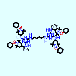 CCCC(Nc1nc(NCCCCCCNc2nc(NC3CC(C)(C)N(OC4CCCCC4)C(C)(C)C3)nc(NC(CCC)C3CC(C)(C)N(OC4CCCCC4)C(C)(C)C3)n2)nc(NC2CC(C)(C)N(OC3CCCCC3)C(C)(C)C2)n1)C1CC(C)(C)N(OC2CCCCC2)C(C)(C)C1